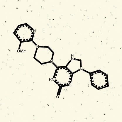 COc1cccnc1N1CCN(c2[nH]c(=O)nc3c2NCN3c2ccccc2)CC1